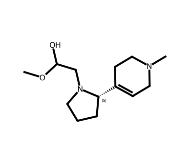 COC(O)CN1CCC[C@H]1C1=CCN(C)CC1